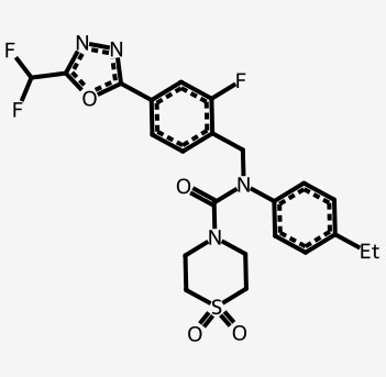 CCc1ccc(N(Cc2ccc(-c3nnc(C(F)F)o3)cc2F)C(=O)N2CCS(=O)(=O)CC2)cc1